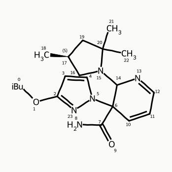 CCC(C)Oc1ccn(C2(C(N)=O)C=CC=NC2N2C[C@@H](C)CC2(C)C)n1